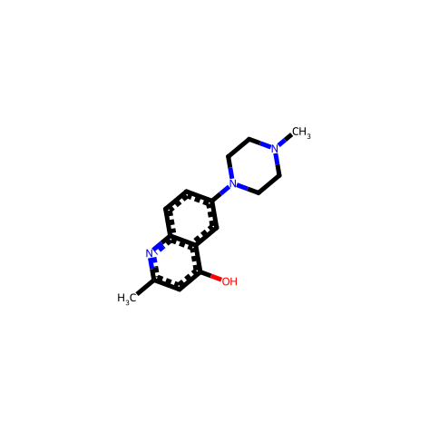 Cc1cc(O)c2cc(N3CCN(C)CC3)ccc2n1